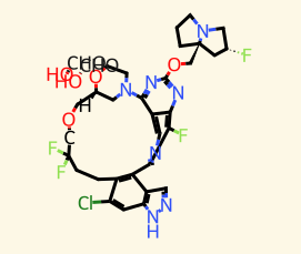 Fc1c2ncc3c(nc(OC[C@@]45CCCN4C[C@H](F)C5)nc13)N1CCO[C@@H](COCC(F)(F)CCc3c(Cl)cc4[nH]ncc4c3-2)C1.O=CO.O=CO